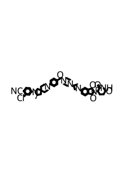 C[C@@H]1CC2(CCN(c3ccc(C(=O)N4CCN(C5CN(c6ccc7c(c6)C(=O)N(C6CCC(=O)NC6=O)C7=O)C5)CC4)cc3)CC2)CN1c1ccc(C#N)c(Cl)c1